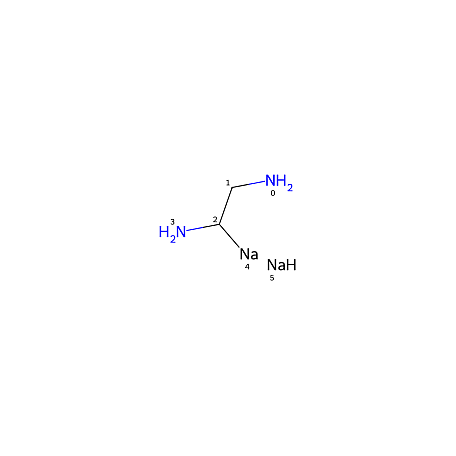 NC[CH](N)[Na].[NaH]